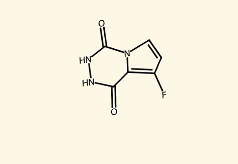 O=c1[nH][nH]c(=O)n2ccc(F)c12